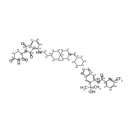 CC(C)(O)c1cc2nc([C@H]3CC[C@H](CN4CCC5(CCC(CCNc6cccc7c6C(=O)N(C6CCC(=O)NC6=O)C7=O)CC5)CC4)CC3)sc2cc1NC(=O)c1cccc(C(F)(F)F)n1